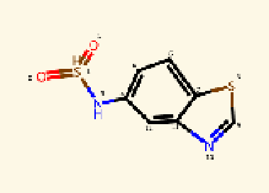 O=[SH](=O)Nc1ccc2scnc2c1